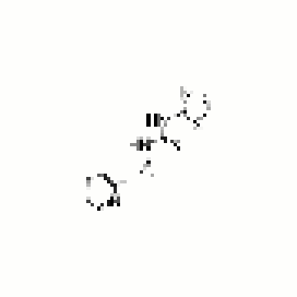 S=C(Nc1nccs1)N[C@@H]1C[C@@H]1c1ccccn1